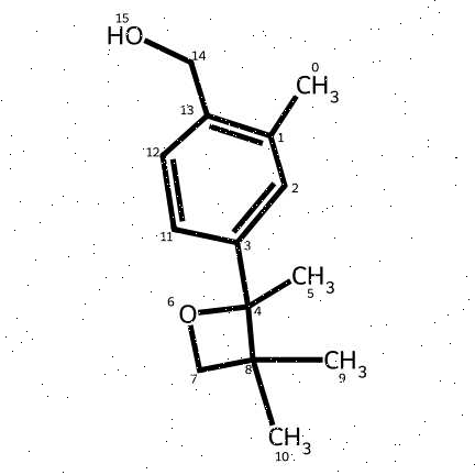 Cc1cc(C2(C)OCC2(C)C)ccc1CO